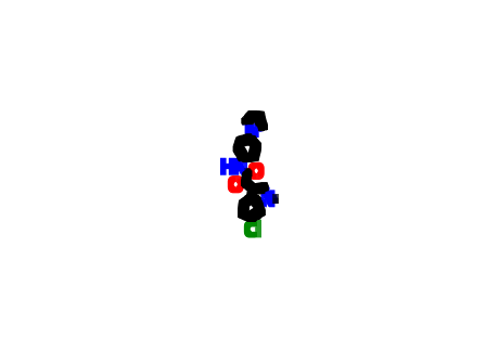 Cn1cc(C(=O)C(=O)Nc2ccc(-n3cccc3)cc2)c2ccc(Cl)cc21